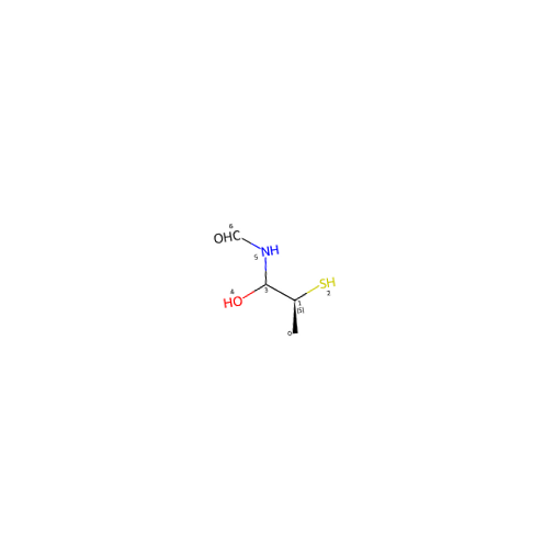 C[C@H](S)C(O)NC=O